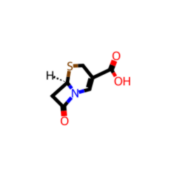 O=C(O)C1=CN2C(=O)C[C@H]2SC1